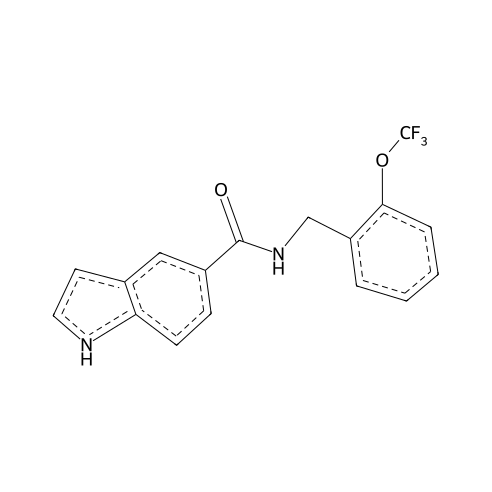 O=C(NCc1ccccc1OC(F)(F)F)c1ccc2[nH]ccc2c1